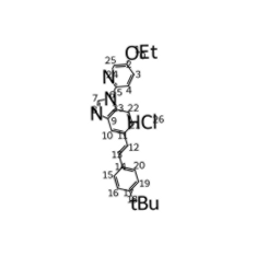 CCOc1ccc(-n2cnc3cc(C=Cc4ccc(C(C)(C)C)cc4)ccc32)nc1.Cl